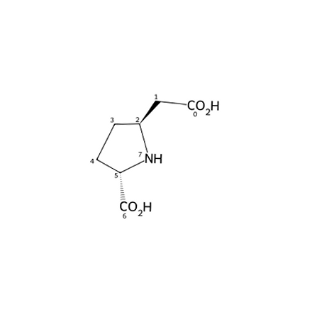 O=C(O)C[C@@H]1CC[C@@H](C(=O)O)N1